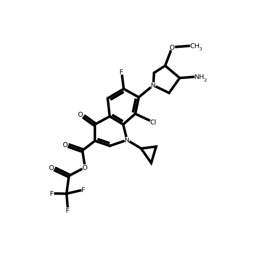 COC1CN(c2c(F)cc3c(=O)c(C(=O)OC(=O)C(F)(F)F)cn(C4CC4)c3c2Cl)CC1N